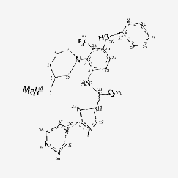 CNCC1CCCN(c2c(NC(=O)c3c[nH]c(-c4ccnnc4)n3)ccc(Bc3ccccc3)c2C(F)(F)F)C1